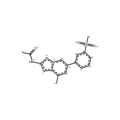 CC(=O)Nc1nc2c(C)cc(-c3cccc(S(C)(=O)=O)c3)cn2n1